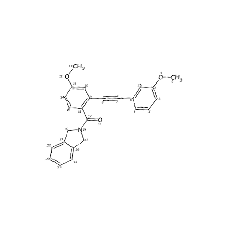 COc1cccc(C#Cc2cc(OC)ccc2C(=O)N2Cc3ccccc3C2)c1